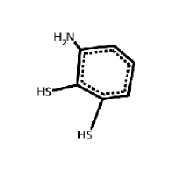 Nc1cccc(S)c1S